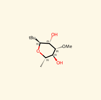 CO[C@@H]1[C@@H](O)[C@H](C)O[C@@H](C(C)(C)C)[C@@H]1O